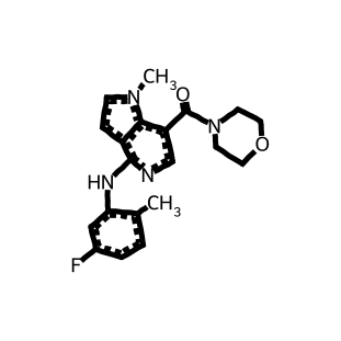 Cc1ccc(F)cc1Nc1ncc(C(=O)N2CCOCC2)c2c1ccn2C